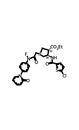 CCOC(=O)[C@H]1CN(CC(=O)N(F)c2ccc(-n3ccccc3=O)cc2)C[C@@H]1NC(=O)c1ccc(Cl)s1